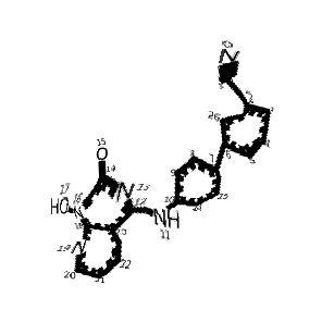 N#Cc1cccc(-c2ccc(Nc3nc(=O)n(O)c4ncccc34)cc2)c1